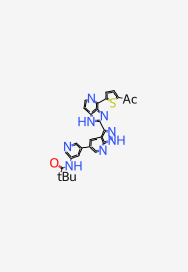 CC(=O)c1ccc(-c2nccc3[nH]c(-c4n[nH]c5ncc(-c6cncc(NC(=O)C(C)(C)C)c6)cc45)nc23)s1